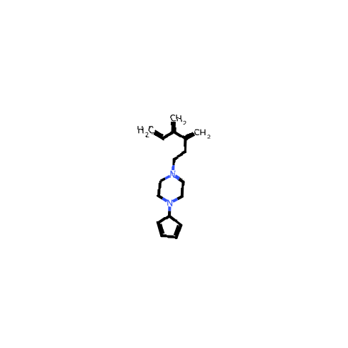 C=CC(=C)C(=C)CCN1CCN(C2C=CC=C2)CC1